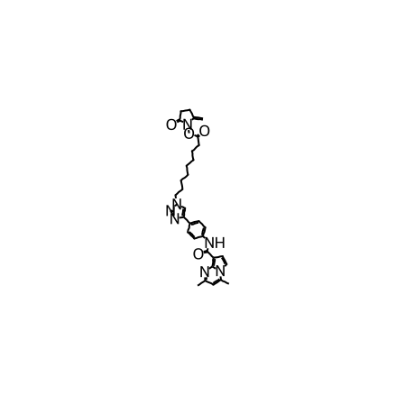 C=C1CCC(=O)N1OC(=O)CCCCCCCCn1cc(-c2ccc(NC(=O)c3ccn4c(C)cc(C)nc34)cc2)nn1